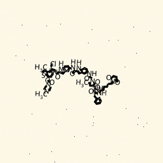 Cc1csc2c(OC(=O)N3CCN(C)CC3)cc3c(c12)[C@@H](CCl)CN3C(=O)c1cc2cc(NC(=O)c3cc4cc(NC(=O)CN5C(=O)[C@@H](NC(=O)[C@H](Cc6ccccc6)NC(=O)CCCCCN6C(=O)C=CC6=O)CC5C)ccc4[nH]3)ccc2[nH]1